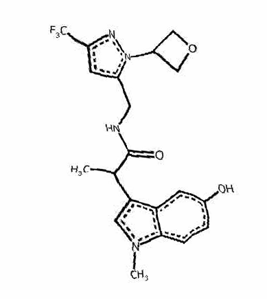 CC(C(=O)NCc1cc(C(F)(F)F)nn1C1COC1)c1cn(C)c2ccc(O)cc12